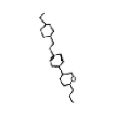 CCCC1CCC(c2ccc(CCC3CCC(CC)CC3)cc2)CO1